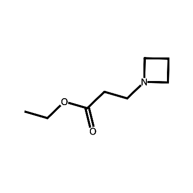 CCOC(=O)CCN1CCC1